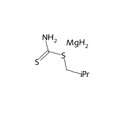 CC(C)CSC(N)=S.[MgH2]